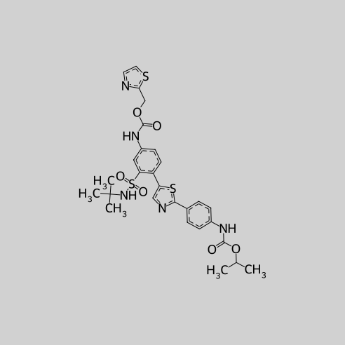 CC(C)OC(=O)Nc1ccc(-c2ncc(-c3ccc(NC(=O)OCc4nccs4)cc3S(=O)(=O)NC(C)(C)C)s2)cc1